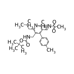 Cc1ccc(-c2c(CNS(C)(=O)=O)c(C)nc(CC(C)C)c2CNC(=O)OC(C)(C)C)cc1